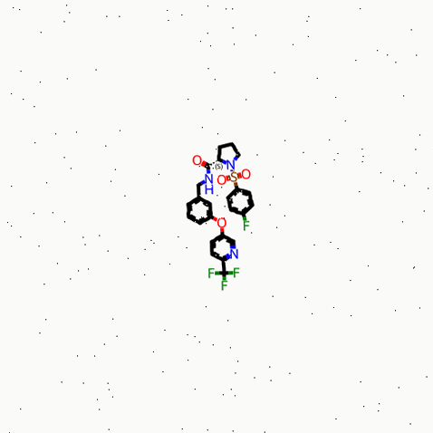 O=C(NCc1cccc(Oc2ccc(C(F)(F)F)nc2)c1)[C@@H]1CCCN1S(=O)(=O)c1ccc(F)cc1